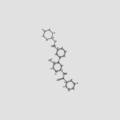 O=C(Nc1cc(-c2cccc(NCC3CCOCC3)c2)c(Cl)cn1)c1cccnc1